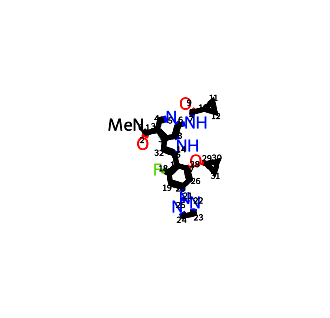 CNC(=O)c1cnc(NC(=O)C2CC2)c2[nH]c(-c3c(F)cc(-n4nccn4)cc3OC3CC3)cc12